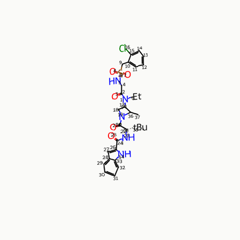 CCN(C(=O)CNS(=O)(=O)Cc1ccccc1Cl)[C@@H]1CN(C(=O)[C@@H](NC(=O)c2cc3ccccc3[nH]2)C(C)(C)C)C1C